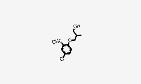 CC(CO)COc1ccc(Cl)cc1C=O